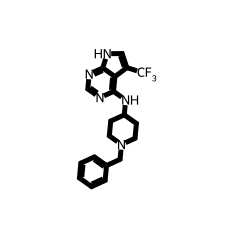 FC(F)(F)c1c[nH]c2ncnc(NC3CCN(Cc4ccccc4)CC3)c12